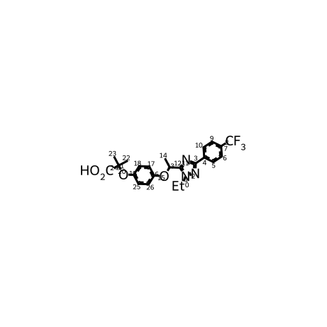 CCn1nc(-c2ccc(C(F)(F)F)cc2)nc1C(C)Oc1ccc(OC(C)(C)C(=O)O)cc1